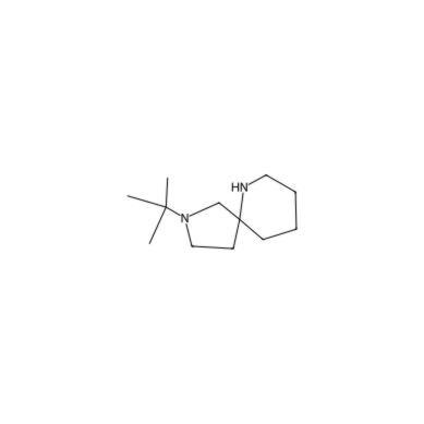 CC(C)(C)N1CCC2(CCCCN2)C1